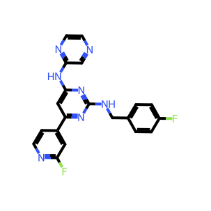 Fc1ccc(CNc2nc(Nc3cnccn3)cc(-c3ccnc(F)c3)n2)cc1